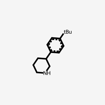 CC(C)(C)c1ccc(C2CCCNC2)cc1